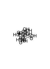 O=C(O)CCCC[C@@H]1SC[C@@H]2NC(=O)N[C@@H]21.O=P(O)(O)OC[C@H]1O[C@H](O)[C@@H](O)[C@@H](O)[C@@H]1O